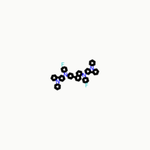 Fc1ccc(N(c2ccc(-c3cccc4c(N(c5ccc(F)cc5)c5ccc6c(c5)c5ccccc5n6-c5ccccc5)cccc34)cc2)c2ccc3c(c2)c2ccccc2n3-c2ccccc2)cc1